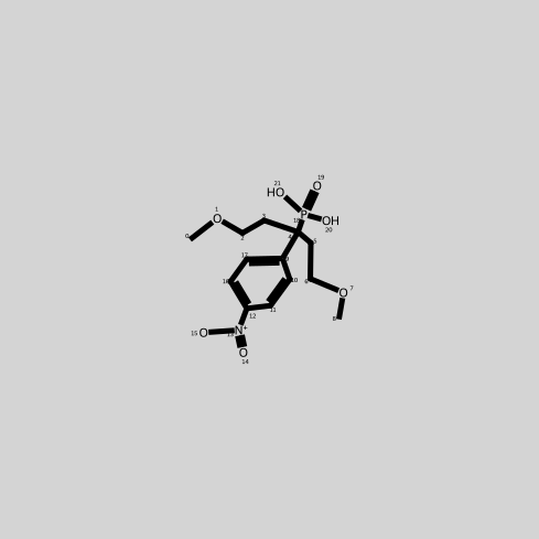 COCCC(CCOC)(c1ccc([N+](=O)[O-])cc1)P(=O)(O)O